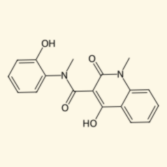 CN(C(=O)c1c(O)c2ccccc2n(C)c1=O)c1ccccc1O